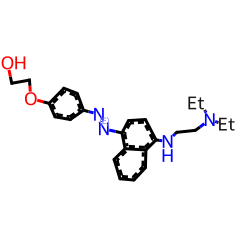 CCN(CC)CCNc1ccc(/N=N/c2ccc(OCCO)cc2)c2ccccc12